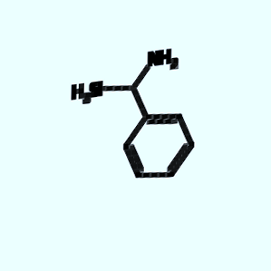 NC([SiH3])c1ccccc1